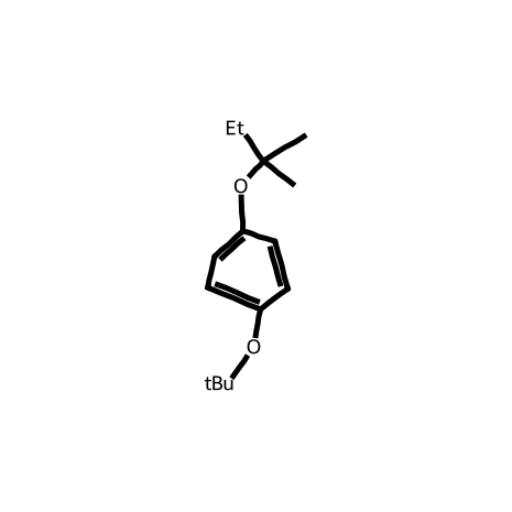 CCC(C)(C)Oc1ccc(OC(C)(C)C)cc1